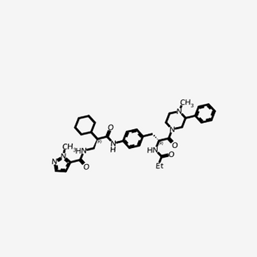 CCC(=O)N[C@H](Cc1ccc(NC(=O)[C@@H](CNC(=O)c2ccnn2C)C2CCCCC2)cc1)C(=O)N1CCN(C)C(c2ccccc2)C1